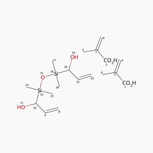 C=C(C)C(=O)O.C=C(C)C(=O)O.C=CC(O)[Si](C)(C)O[Si](C)(C)C(O)C=C